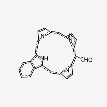 O=Cc1c2nc(cc3[nH]c(cc4nc(cc5ccc1[nH]5)C=C4)c1ccccc31)C=C2